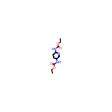 CCOC(=O)Nc1ccc(NC(=O)OCC)nc1